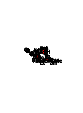 CC[C@H]1OC(=O)[C@H](C)[C@@H](O[C@H]2C[C@@](C)(OC)[C@@H](O)[C@H](C)O2)[C@H](C)[C@@H](O[C@@H]2O[C@H](C)C[C@H](N(C)CCc3cn([C@H](CF)[C@H](OC)c4ccc(C5=CCOCC5)cc4)nn3)[C@H]2O)[C@](C)(O)C[C@@H](C)CN(C)[C@H](C)[C@@H](O)[C@]1(C)O